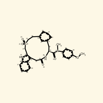 COc1ccc(N(C)C(=O)[C@@H]2Cc3cccc(c3)CCS(=O)(=O)Cc3[nH]c4ccccc4c3CC(=O)N2)cc1